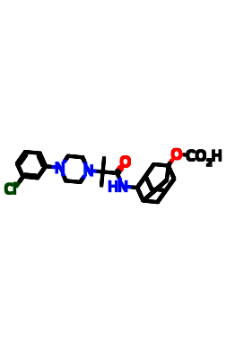 CC(C)(C(=O)NC1C2CC3CC1CC(OC(=O)O)(C3)C2)N1CCN(c2cccc(Cl)c2)CC1